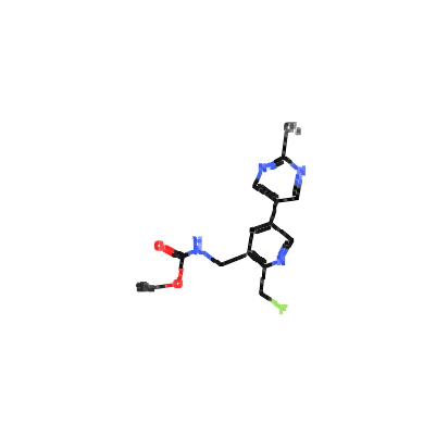 CC(C)(C)OC(=O)NCc1cc(-c2cnc(C(F)(F)F)nc2)cnc1CF